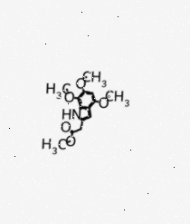 COC(=O)Cc1cc2c(OC)cc(OC)c(OC)c2[nH]1